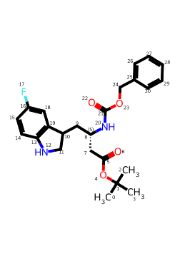 CC(C)(C)OC(=O)C[C@H](CC1CNc2ccc(F)cc21)NC(=O)OCc1ccccc1